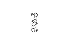 O=C1N(Cc2c(F)cccc2F)CCCC12CCCN(Cc1c(F)cccc1F)C2=O